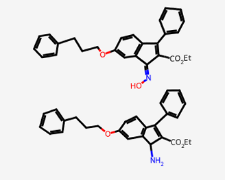 CCOC(=O)C1=C(c2ccccc2)c2ccc(OCCCc3ccccc3)cc2C1=NO.CCOC(=O)C1=C(c2ccccc2)c2ccc(OCCCc3ccccc3)cc2C1N